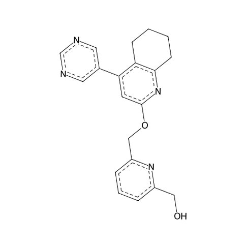 OCc1cccc(COc2cc(-c3cncnc3)c3c(n2)CCCC3)n1